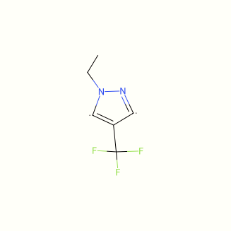 CCn1[c]c(C(F)(F)F)[c]n1